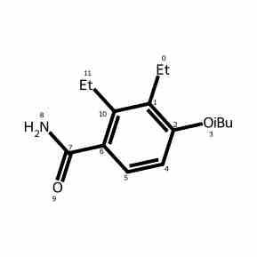 CCc1c(OCC(C)C)ccc(C(N)=O)c1CC